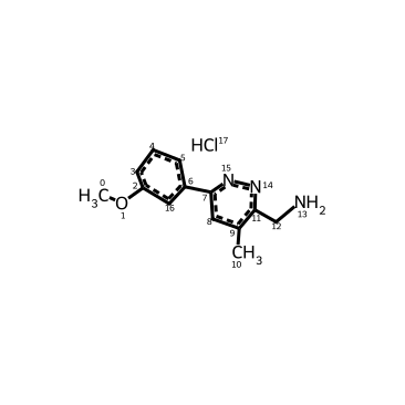 COc1cccc(-c2cc(C)c(CN)nn2)c1.Cl